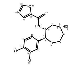 Cl.O=C(N[C@@H]1CNCCO[C@H]1c1ccc(Cl)c(Cl)c1)c1cnco1